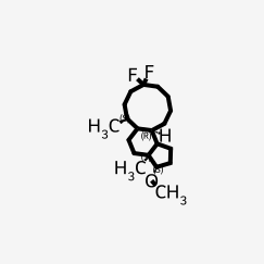 CO[C@H]1CCC2[C@@H]3CCCCC(F)(F)CC[C@H](C)C3CC[C@@]21C